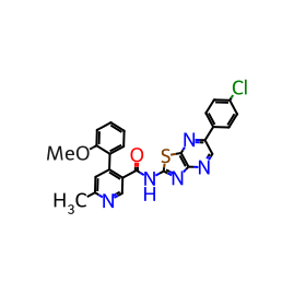 COc1ccccc1-c1cc(C)ncc1C(=O)Nc1nc2ncc(-c3ccc(Cl)cc3)nc2s1